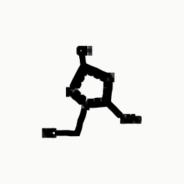 CSc1nc(O)nn1CC#N